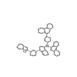 c1cc(-c2cc3ccccc3o2)cc(-c2ccc(N(c3ccc(-c4cc5ccccc5c5ccccc45)cc3)c3cc4ccccc4c4ccccc34)c3ccccc23)c1